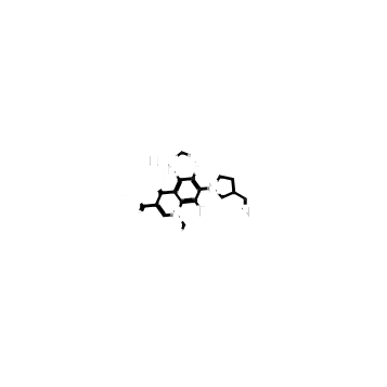 CCC.CCn1cc(C(=O)O)c(=O)c2c(N)c(F)c(N3CCC(CN)C3)c(F)c21